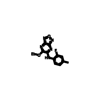 CCOc1nc2nonc2nc1Nc1ccc(C)cc1F